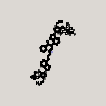 CC[C@H]1O[C@@H](n2ccc3c(CC/C=C/CN(C(=O)c4ccccc4)c4ncnc5c4ncn5[C@@H]4O[C@H](CO)[C@@H](O[Si](C)(C)C(C)(C)C)[C@H]4F)ncnc32)[C@H](F)[C@@H]1O[PH](=O)O